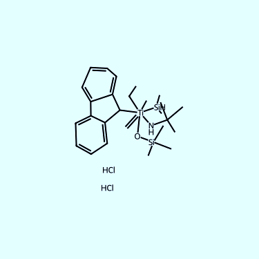 Cl.Cl.[CH2]=[Ti]([CH3])([CH2]C)([NH]C(C)(C)C)([O][Si](C)(C)C)([CH]1c2ccccc2-c2ccccc21)[SiH](C)C